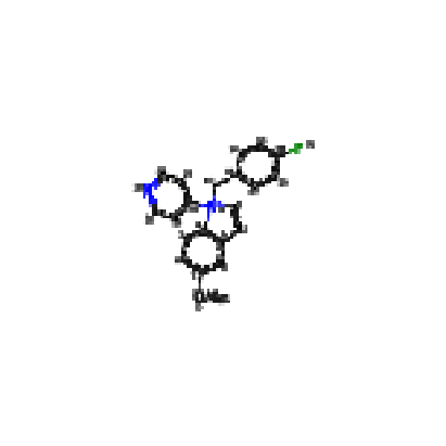 COc1ccc2c(c1)[C]=C[N+]2(Cc1ccc(F)cc1)c1ccncc1